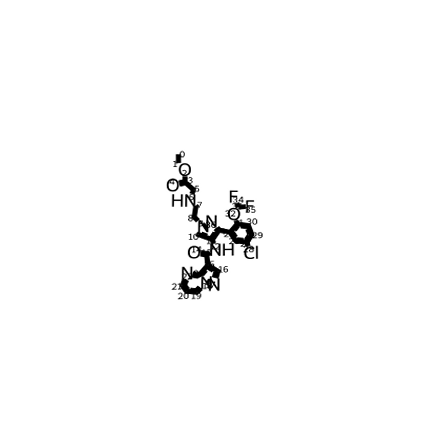 CCOC(=O)CNCCn1cc(NC(=O)c2cnn3cccnc23)c(-c2cc(Cl)ccc2OC(F)F)n1